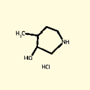 CC1CCNCC1O.Cl